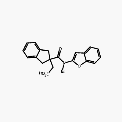 CCN(C(=O)C1(CC(=O)O)Cc2ccccc2C1)c1cc2ccccc2o1